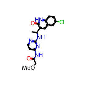 COCC(=O)Nc1ccnc(NC(C)c2cc3cc(Cl)ccc3[nH]c2=O)n1